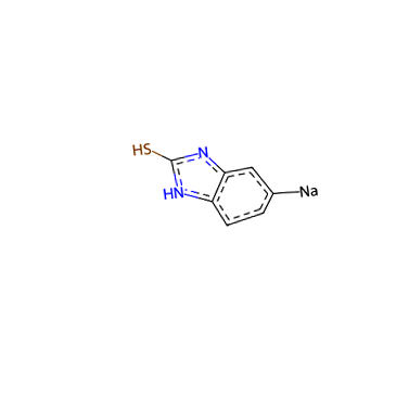 [Na][c]1ccc2[nH]c(S)nc2c1